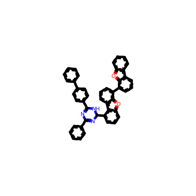 c1ccc(C2=NC(c3cccc4oc5c(-c6cccc7c6oc6ccccc67)cccc5c34)NC(c3ccc(-c4ccccc4)cc3)=N2)cc1